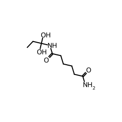 CCC(O)(O)NC(=O)CCCCC(N)=O